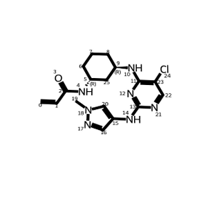 C=CC(=O)N[C@@H]1CCC[C@@H](Nc2nc(Nc3cnn(C)c3)ncc2Cl)C1